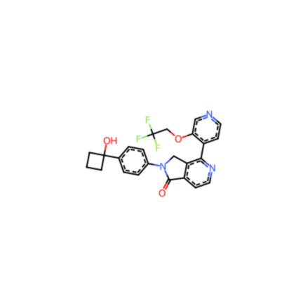 O=C1c2ccnc(-c3ccncc3OCC(F)(F)F)c2CN1c1ccc(C2(O)CCC2)cc1